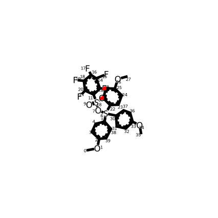 COc1ccc(S(OS(=O)(=O)c2c(F)c(F)c(F)c(F)c2F)(c2ccc(OC)cc2)c2ccc(OC)cc2)cc1